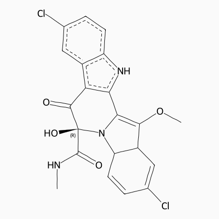 CNC(=O)[C@]1(O)C(=O)c2c([nH]c3ccc(Cl)cc23)C2=C(OC)C3C=C(Cl)C=CC3N21